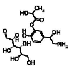 CC(O)C(=O)Oc1cc([C@@H](O)CN)ccc1O.O=C[C@H](O)[C@@H](O)[C@H](O)[C@H](O)CO